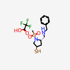 CS(=O)(=O)N1C[C@H](S)C[C@H]1CNCc1ccccc1.O=C(O)C(F)(F)F